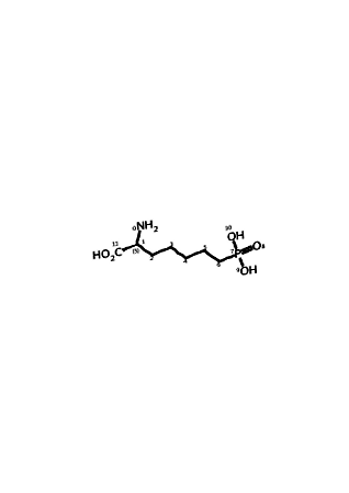 N[C@@H](CCCCCP(=O)(O)O)C(=O)O